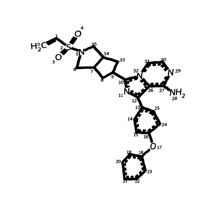 C=CS(=O)(=O)N1CC2CC(c3nc(-c4ccc(Oc5ccccc5)cc4)c4c(N)nccn34)CC2C1